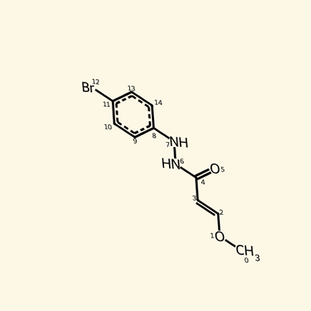 COC=CC(=O)NNc1ccc(Br)cc1